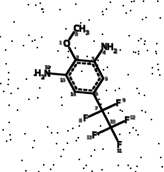 COc1c(N)cc(C(F)(F)C(F)(F)F)cc1N